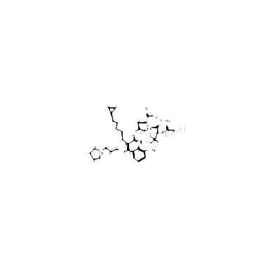 COc1cccc2c(OCCCN3CCCC3)c(CCCCCC3CC3)c(OC3C[C@@H](C(=O)O)N(C(=O)[C@@H](NC(=O)O)C(C)(C)C)C3)nc12